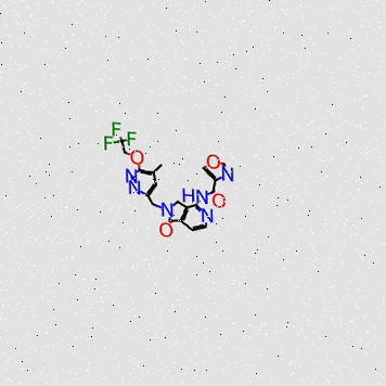 Cc1cc(CN2Cc3c(ccnc3NC(=O)c3cocn3)C2=O)nnc1OCC(F)(F)F